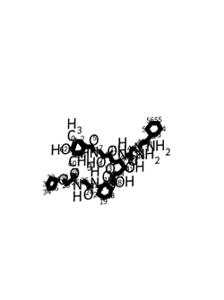 Cc1cc(C(=O)NC[C@@H](O)[C@@H](O)C2O[C@@](OC3CCCCC3NC(=O)CNC(=O)COC3CCCC3)(C(=O)O)C[C@H](O)[C@H]2NC(=O)CN(N)/C=C(\N)C2CCCCC2)cc(C)c1O